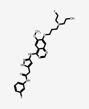 COc1cc2c(Nc3cc(CC(=O)Nc4cccc(F)c4)[nH]n3)ncnc2cc1OCCCN(CCO)CCF